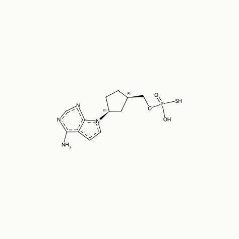 Nc1ncnc2c1ccn2[C@H]1CC[C@@H](COP(=O)(O)S)C1